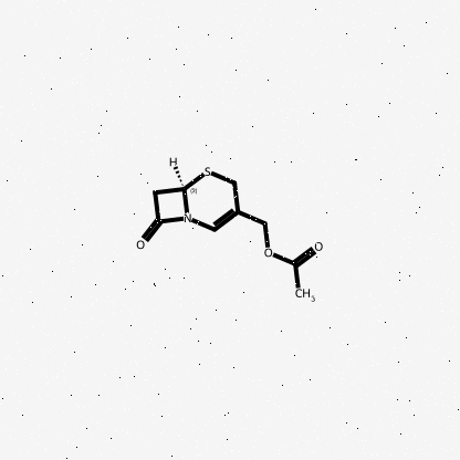 CC(=O)OCC1=CN2C(=O)C[C@H]2SC1